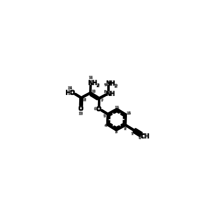 C#Cc1ccc(O/C(NN)=C(/N)C(=O)O)cc1